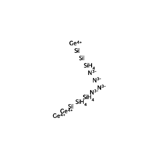 [Ge+4].[Ge+4].[Ge+4].[N-3].[N-3].[N-3].[N-3].[SiH4].[SiH4].[SiH4].[Si].[Si].[Si]